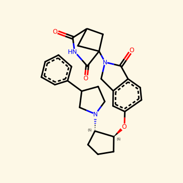 O=C1NC(=O)C2(N3Cc4cc(O[C@H]5CCC[C@@H]5N5CCC(c6ccccc6)C5)ccc4C3=O)CC1C2